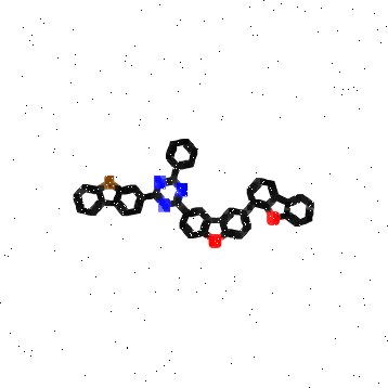 c1ccc(-c2nc(-c3ccc4c(c3)sc3ccccc34)nc(-c3ccc4oc5ccc(-c6cccc7c6oc6ccccc67)cc5c4c3)n2)cc1